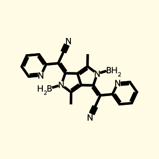 Bn1c(C)c2/c(=C(\C#N)c3ccccn3)n(B)c(C)c2/c1=C(\C#N)c1ccccn1